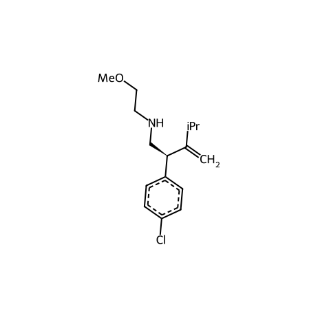 C=C(C(C)C)[C@H](CNCCOC)c1ccc(Cl)cc1